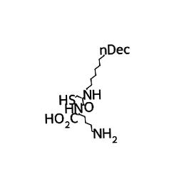 CCCCCCCCCCCCCCCCCCN[C@H](CS)C(=O)N[C@@H](CCCCN)C(=O)O